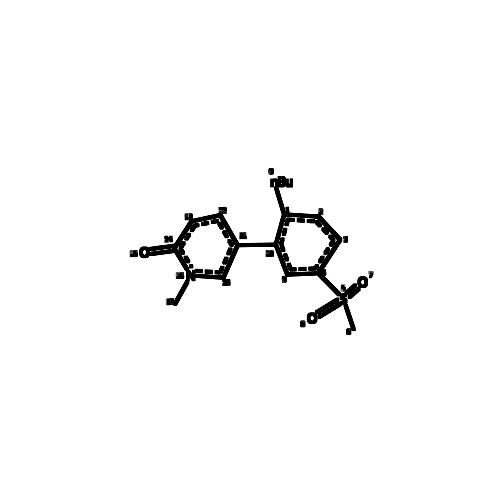 CCCCc1ccc(S(C)(=O)=O)cc1-c1ccc(=O)n(C)c1